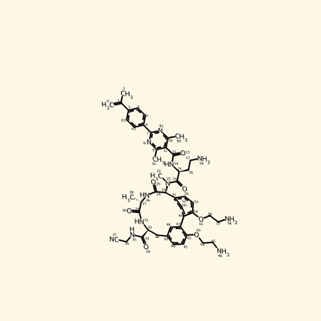 C=C(C)c1ccc(-c2nc(C)c(C(=O)N[C@@H](CCN)C(=O)N(C)[C@@H]3C(=O)N[C@@H](C)C(=O)N[C@H](C(=O)NCC#N)Cc4ccc(OCCN)c(c4)-c4cc3ccc4OCCN)c(C)n2)cc1